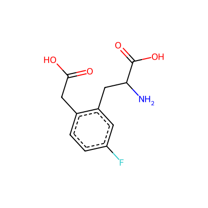 NC(Cc1cc(F)ccc1CC(=O)O)C(=O)O